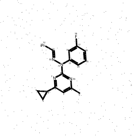 Cc1cc(C2CC2)nc(N(N=CC(C)C)c2cccc(F)c2)n1